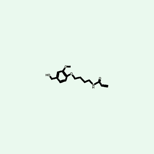 C=CC(=O)NCCCCOc1ccc(CO)cc1OC